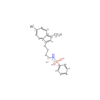 CC(C)c1ccc2c(CCC[C@@H](C)NS(=O)(=O)c3ccccc3)cc(C(=O)O)c-2cc1